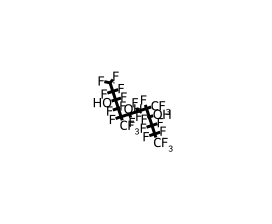 OC(F)(C(F)(F)[C](F)F)C(F)(F)C(F)(C(F)(F)F)C(O)(F)C(F)(F)C(F)(C(F)(F)F)C(O)(F)C(F)(F)C(F)(F)C(F)(F)F